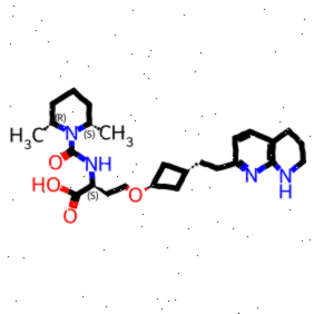 C[C@@H]1CCC[C@H](C)N1C(=O)N[C@@H](CCO[C@H]1C[C@@H](CCc2ccc3c(n2)NCCC3)C1)C(=O)O